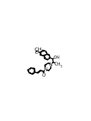 COc1ccc2cc(C(O)C(C)N3CCN(C(=O)C=Cc4ccccc4)CC3)ccc2c1